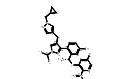 C[C@@H](Oc1cc(Br)cnc1[N+](=O)[O-])c1cc(F)ccc1-c1nn(C(F)F)cc1Cc1cnn(CC2CC2)c1